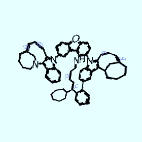 N=C/C=C\C=C(\c1ccccc1-c1ccc2c(c1)c1c(n2-c2ccc3oc4ccc(-n5c6c(c7ccccc75)N5CCCC/C(=C/C=C\6)C5)cc4c3c2)/C=C\C=C2\CCCCC1C2)C1CCCCCC1